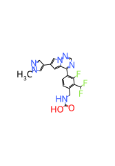 Cn1cc(-c2cc3c(-c4ccc(CNC(=O)O)c(C(F)F)c4F)ncnn3c2)cn1